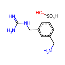 N=C(N)NCc1cccc(CN)c1.O=S(=O)(O)O